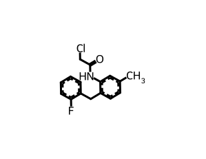 Cc1ccc(Cc2ccccc2F)c(NC(=O)CCl)c1